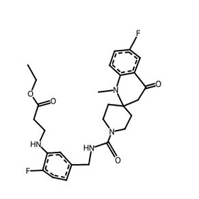 CCOC(=O)CCNc1cc(CNC(=O)N2CCC3(CC2)CC(=O)c2cc(F)ccc2N3C)ccc1F